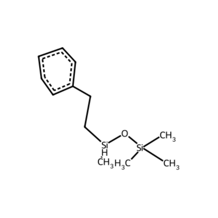 C[SiH](CCc1ccccc1)O[Si](C)(C)C